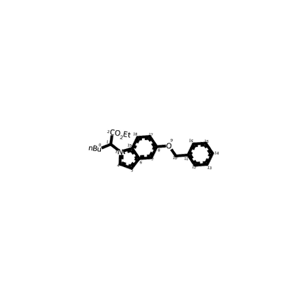 CCCCC(C(=O)OCC)n1ccc2cc(OCc3ccccc3)ccc21